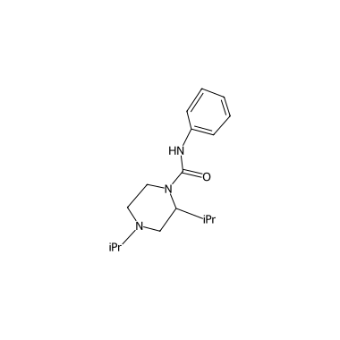 CC(C)C1CN(C(C)C)CCN1C(=O)Nc1ccccc1